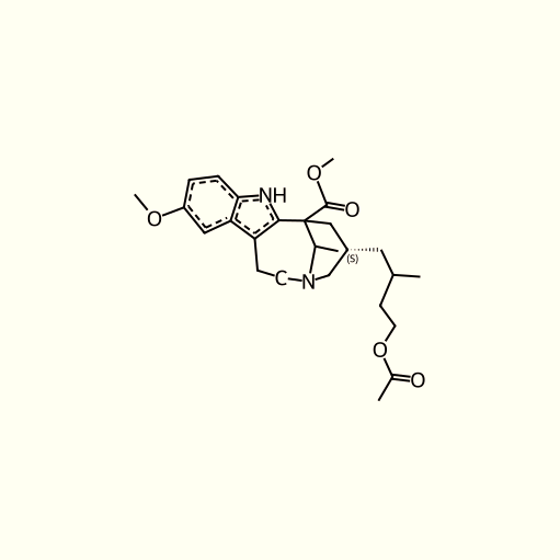 COC(=O)C12C[C@H](CC(C)CCOC(C)=O)CN(CCc3c1[nH]c1ccc(OC)cc31)C2C